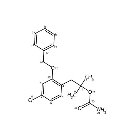 CC(C)(Cc1ccc(Cl)cc1OCc1ccccc1)OC(N)=O